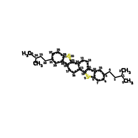 CC(C)CCc1ccc2sc3c(ccc4c3ccc3c5cc(CCC(C)C)ccc5sc34)c2c1